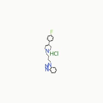 Cl.Fc1ccc(C2=CCN(CCCCn3nnc4ccccc43)CC2)cc1